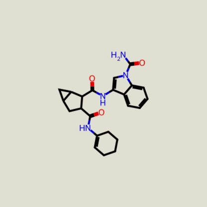 NC(=O)n1cc(NC(=O)C2C(C(=O)NC3=CCCCC3)CC3CC32)c2ccccc21